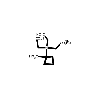 N.O=C(O)C[N+](CC(=O)O)(CC(=O)O)C1(C(=O)O)CCC1